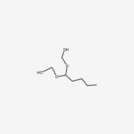 CCCCN(OCO)OCO